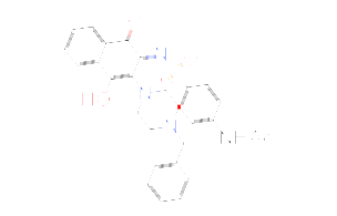 CC(=O)Nc1ccc(S(=O)(=O)/N=C2/C(=O)c3ccccc3C(O)=C2N2CCN(Cc3ccccc3)CC2)cc1